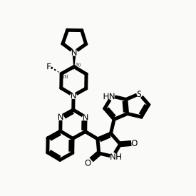 O=C1NC(=O)C(c2c[nH]c3sccc23)=C1c1nc(N2CC[C@H](N3CCCC3)[C@@H](F)C2)nc2ccccc12